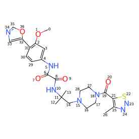 COc1cc(NC(=O)C(=O)NC(C)(C)CN2CCN(C(=O)c3snnc3C)CC2)ccc1-c1cnco1